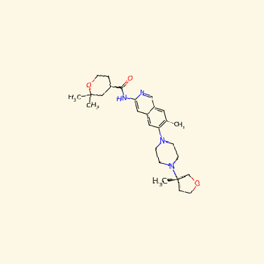 Cc1cc2cnc(NC(=O)[C@@H]3CCOC(C)(C)C3)cc2cc1N1CCN([C@@]2(C)CCOC2)CC1